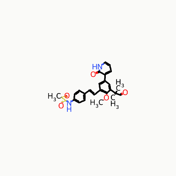 COc1c(C=Cc2ccc(NS(C)(=O)=O)cc2)cc(-c2ccc[nH]c2=O)cc1C(C)(C)C=O